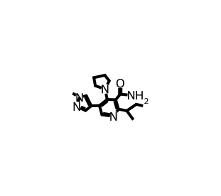 CCC(C)c1ncc(-c2cnn(C)c2)c(N2CCCC2)c1C(N)=O